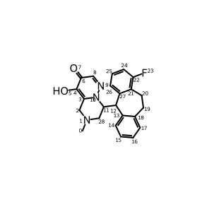 CN1Cc2c(O)c(=O)cnn2C(C2c3ccccc3CCc3c(F)cccc32)C1